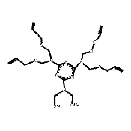 C=CCOCN(COCC=C)c1nc(N(COC)COC)nc(N(COCC=C)COCC=C)n1